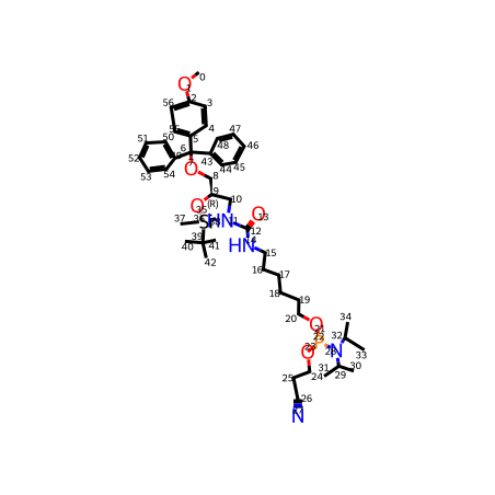 COc1ccc(C(OC[C@@H](CNC(=O)NCCCCCCOP(OCCC#N)N(C(C)C)C(C)C)O[Si](C)(C)C(C)(C)C)(c2ccccc2)c2ccccc2)cc1